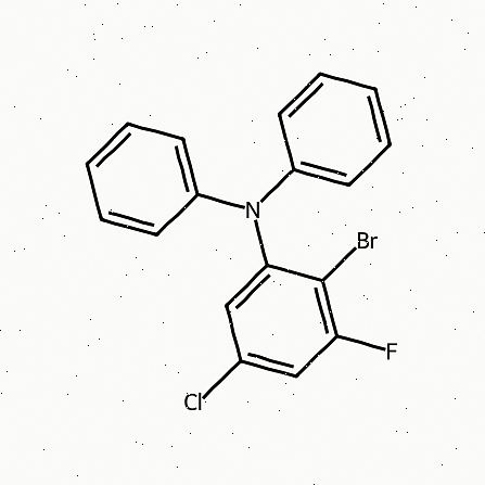 Fc1cc(Cl)cc(N(c2ccccc2)c2ccccc2)c1Br